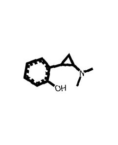 CN(C)C1CC1c1ccccc1O